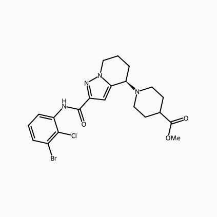 COC(=O)C1CCN([C@@H]2CCCn3nc(C(=O)Nc4cccc(Br)c4Cl)cc32)CC1